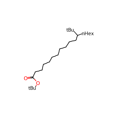 CCCCCCC(CCCCCCCCCCC(=O)OC(C)(C)C)C(C)(C)C